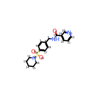 O=C(NCc1ccc(S(=O)(=O)N2CCCCC2)cc1)c1cccnc1